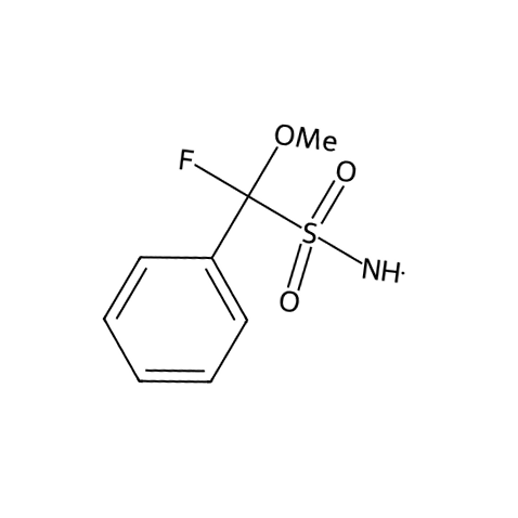 COC(F)(c1ccccc1)S([NH])(=O)=O